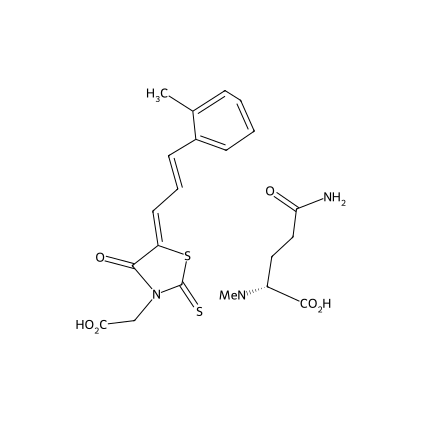 CN[C@H](CCC(N)=O)C(=O)O.Cc1ccccc1C=CC=C1SC(=S)N(CC(=O)O)C1=O